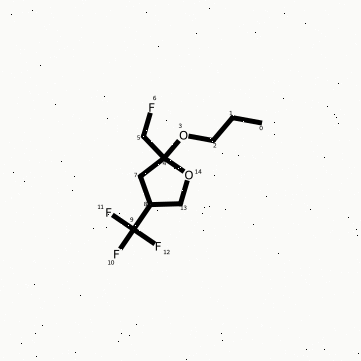 CCCOC1(CF)CC(C(F)(F)F)CO1